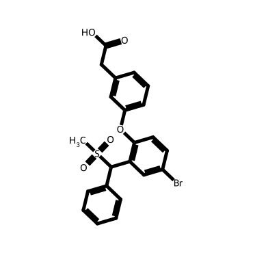 CS(=O)(=O)C(c1ccccc1)c1cc(Br)ccc1Oc1cccc(CC(=O)O)c1